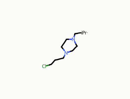 C[C](C)CN1CCN(CCCCl)CC1